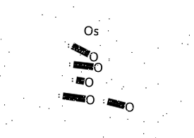 [C]=O.[C]=O.[C]=O.[C]=O.[C]=O.[Os]